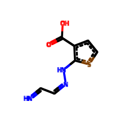 N=C/C=N\Nc1sccc1C(=O)O